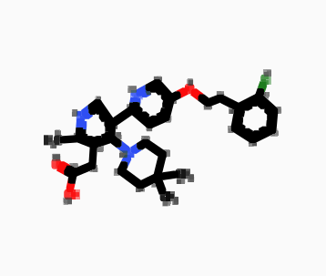 Cc1ncc(-c2ccc(OCCc3ccccc3Cl)cn2)c(N2CCC(C)(C)CC2)c1CC(=O)O